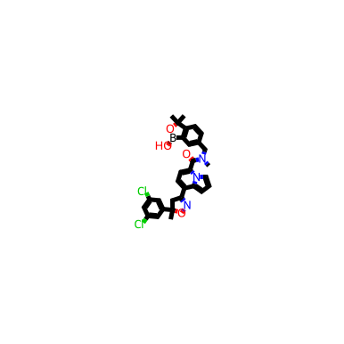 CN(Cc1ccc2c(c1)B(O)OC2(C)C)C(=O)c1ccc(C2=NOC(C)(c3cc(Cl)cc(Cl)c3)C2)c2cccn12